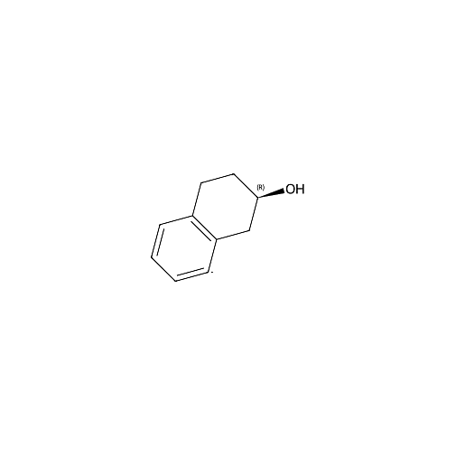 O[C@@H]1CCc2ccc[c]c2C1